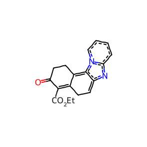 CCOC(=O)C1=C2CC=c3nc4ccccn4c3=C2CCC1=O